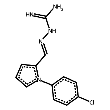 N=C(N)N/N=C/c1cccn1-c1ccc(Cl)cc1